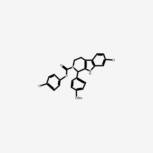 COc1ccc(C2c3[nH]c4cc(Cl)ccc4c3CCN2C(=O)Oc2ccc(Cl)cc2)cc1